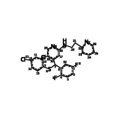 Fc1ccc(F)c(C(Sc2ccc(Cl)cc2)c2cc(NCCc3ccccn3)ncc2Cl)c1